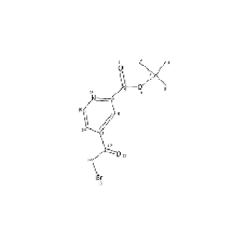 CC(C)(C)OC(=O)c1cc(C(=O)CBr)ccn1